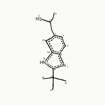 CC(O)c1ccc2nc(C(C)(C)C)[nH]c2c1